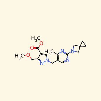 COCc1nn(Cc2cnc(N3CC4(CC4)C3)nc2C)cc1C(=O)OC